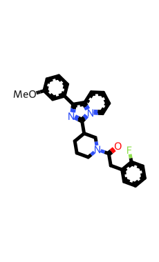 COc1cccc(-c2nc(C3CCCN(C(=O)Cc4ccccc4F)C3)n3ccccc23)c1